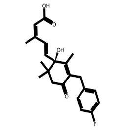 CC1=C(Cc2ccc(F)cc2)C(=O)CC(C)(C)[C@]1(O)/C=C/C(C)=C\C(=O)O